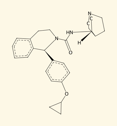 O=C(N[C@@H]1CN2CCC1CC2)N1CCc2ccccc2[C@@H]1c1ccc(OC2CC2)cc1